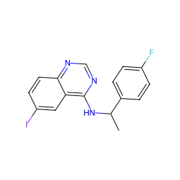 CC(Nc1ncnc2ccc(I)cc12)c1ccc(F)cc1